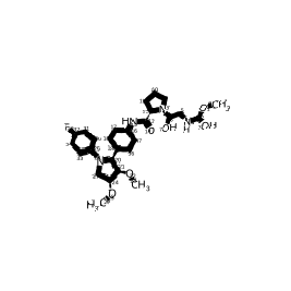 COC(O)NCC(O)N1CCC[C@H]1C(=O)NC1CCC([C@H]2[C@@H](OC)[C@H](OC)CN2C2C=CC(F)CC2)CC1